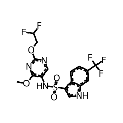 COc1nc(OCC(F)F)ncc1NS(=O)(=O)c1c[nH]c2cc(C(F)(F)F)ccc12